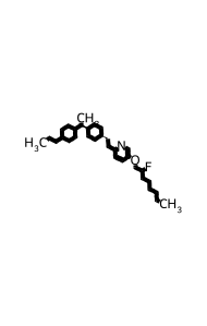 CCCCCCC(F)COc1ccc(CC[C@H]2CC[C@H](C(C)C3CCC(CCC)CC3)CC2)nc1